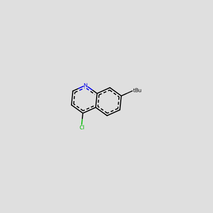 CC(C)(C)c1ccc2c(Cl)ccnc2c1